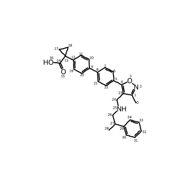 Cc1noc(-c2ccc(-c3ccc(C4(C(=O)O)CC4)cc3)cc2)c1CNCC(C)c1ccccc1